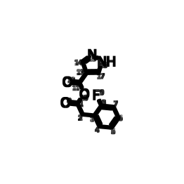 O=C(Cc1ccccc1F)OC(=O)c1cn[nH]c1